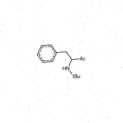 CC(=O)C(Cc1ccccc1)NC(C)(C)C